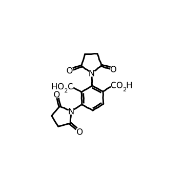 O=C(O)c1ccc(N2C(=O)CCC2=O)c(C(=O)O)c1N1C(=O)CCC1=O